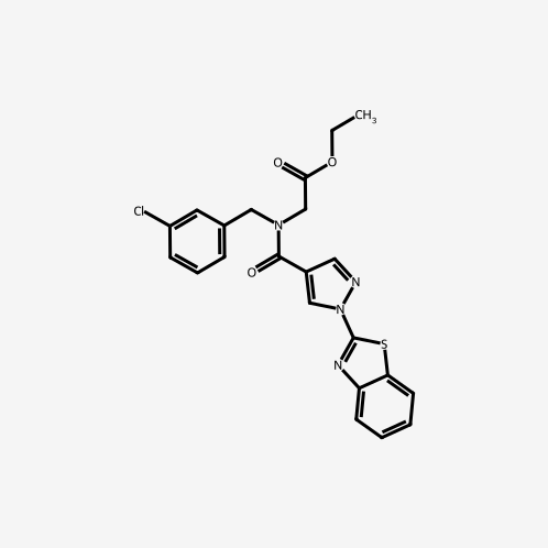 CCOC(=O)CN(Cc1cccc(Cl)c1)C(=O)c1cnn(-c2nc3ccccc3s2)c1